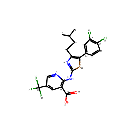 CC(C)CCc1nc(Nc2ncc(C(F)(F)F)cc2C(=O)O)sc1-c1ccc(Cl)c(Cl)c1